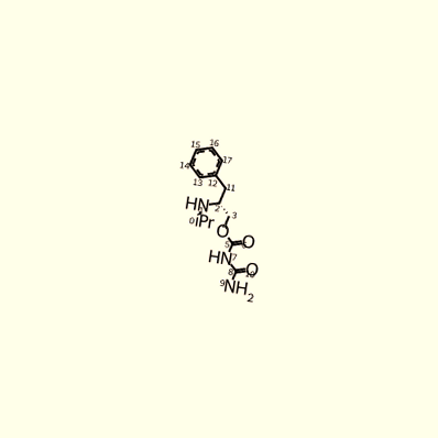 CC(C)N[C@@H](COC(=O)NC(N)=O)Cc1ccccc1